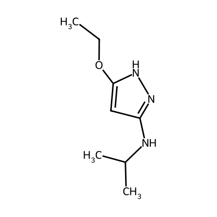 CCOc1cc(NC(C)C)n[nH]1